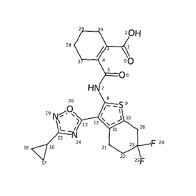 O=C(O)C1=C(C(=O)Nc2sc3c(c2-c2nc(C4CC4)no2)CCC(F)(F)C3)CCCC1